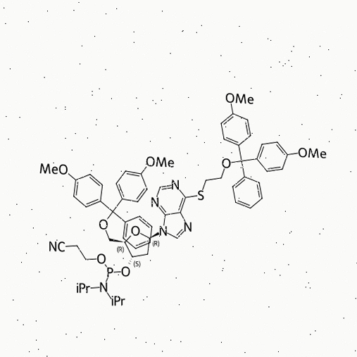 COc1ccc(C(OCCSc2ncnc3c2ncn3[C@H]2C[C@H](OP(OCCC#N)N(C(C)C)C(C)C)[C@@H](COC(c3ccccc3)(c3ccc(OC)cc3)c3ccc(OC)cc3)O2)(c2ccccc2)c2ccc(OC)cc2)cc1